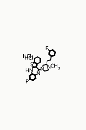 CN1CCN(C2=Nc3ccc(F)cc3Nc3sc4c(c32)C=CCC4)C[C@@H]1CCc1cccc(F)c1.Cl.Cl